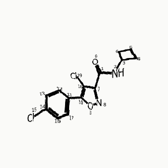 O=C(NC1CCC1)c1noc(-c2ccc(Cl)cc2)c1Cl